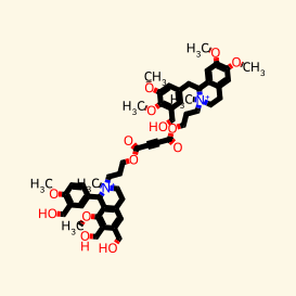 COc1ccc(C2c3c(cc(CO)c(CO)c3OC)CC[N+]2(C)CCCOC(=O)C#CC(=O)OCCC[N+]2(C)CCc3cc(OC)c(OC)cc3C2Cc2cc(CO)c(OC)c(OC)c2)cc1CO